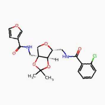 CC1(C)O[C@@H]2[C@@H](CNC(=O)c3ccccc3Cl)OC[C@]2(CNC(=O)c2ccoc2)O1